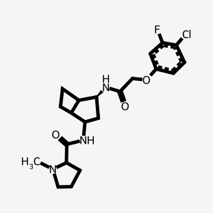 CN1CCCC1C(=O)NC1C[C@H](NC(=O)COc2ccc(Cl)c(F)c2)C2CCC12